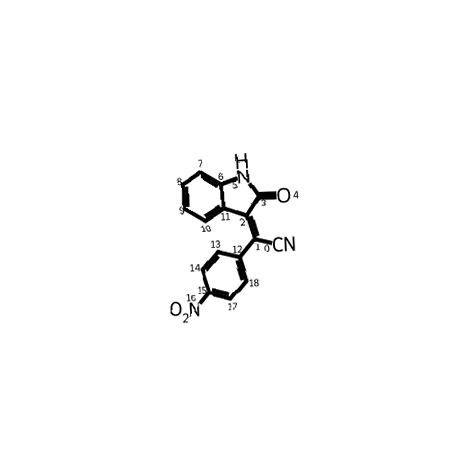 N#CC(=C1C(=O)Nc2ccccc21)c1ccc([N+](=O)[O-])cc1